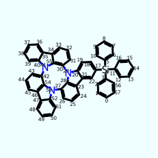 c1ccc([Si](c2ccccc2)(c2ccccc2)c2ccc3c(c2)c2cccc4c2n3c2cccc3c5ccccc5n(c5cccc6c7ccccc7n4c65)c32)cc1